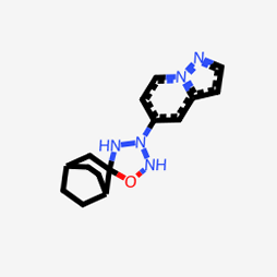 c1cc2cc(N3NOC4(CC5CCC4CC5)N3)ccn2n1